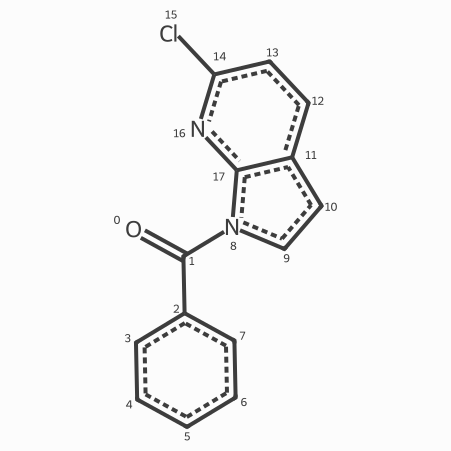 O=C(c1ccccc1)n1ccc2ccc(Cl)nc21